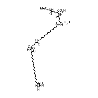 COCNC(=O)CCC(NC(=O)CCC(NC(=O)CCCCCCCCCCCNC(=O)CCCS(=O)(=O)NC(=O)CCCCCCCCCCCCCCCC1=NNNN1)C(=O)O)C(=O)O